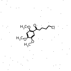 COc1cc(OC)c(C(=O)CCCCCl)cc1OC